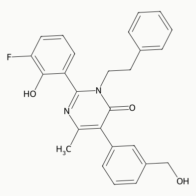 Cc1nc(-c2cccc(F)c2O)n(CCc2ccccc2)c(=O)c1-c1cccc(CO)c1